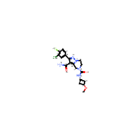 CO[C@H]1C[C@H](NC(=O)N2CCn3nc(-c4ccc(F)c(Cl)c4)c(C(N)=O)c3C2)C1